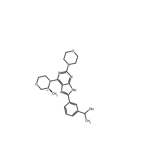 CC(O)c1cccc(-c2nc3c(N4CCOC[C@@H]4C)nc(N4CCOCC4)nc3[nH]2)c1